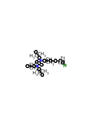 CCC(CC(C)c1ccc(-c2ccc(C(C)(C)c3ccc(N(c4ccc(C(C)(C)c5ccccc5)cc4)c4c5ccccc5c(N(c5ccc(C(C)(C)c6ccccc6)cc5)c5ccc(C(C)(C)c6ccccc6)cc5)c5ccccc45)cc3)cc2)cc1)c1ccc(Br)cc1